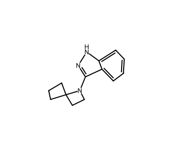 c1ccc2c(N3CCC34CCC4)n[nH]c2c1